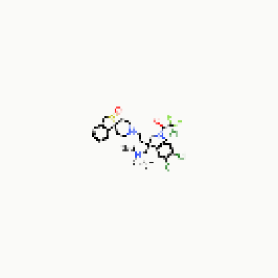 CN(CC(CCN1CCC2(CC1)c1ccccc1C[S@+]2[O-])(CN(C(=O)O)C(C)(C)C)c1ccc(Cl)c(Cl)c1)C(=O)C(F)(F)Cl